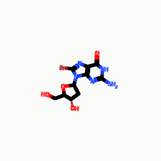 Nc1nc2c(nc(Br)n2C2C[C@H](O)C(CO)O2)c(=O)[nH]1